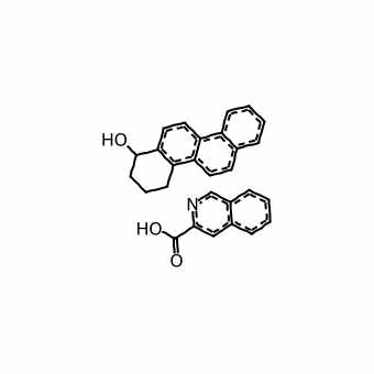 O=C(O)c1cc2ccccc2cn1.OC1CCCc2c1ccc1c2ccc2ccccc21